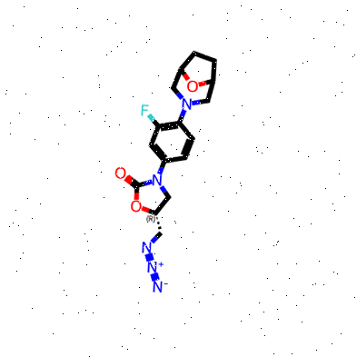 [N-]=[N+]=NC[C@H]1CN(c2ccc(N3CC4CCC(C3)O4)c(F)c2)C(=O)O1